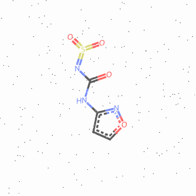 O=C(N=S(=O)=O)Nc1ccon1